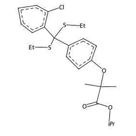 CCSC(SCC)(c1ccc(OC(C)(C)C(=O)OC(C)C)cc1)c1ccccc1Cl